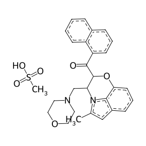 CS(=O)(=O)O.Cc1cc2cccc3c2n1C(CN1CCOCC1)C(C(=O)c1cccc2ccccc12)O3